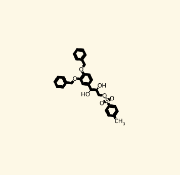 Cc1ccc(S(=O)(=O)OC[C@H](O)[C@H](O)c2ccc(OCc3ccccc3)c(OCc3ccccc3)c2)cc1